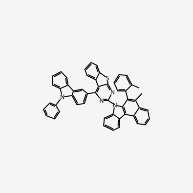 Cc1ccccc1-c1c(C)c2ccccc2c2c3ccccc3n(-c3nc(-c4ccc5c(c4)c4ccccc4n5-c4ccccc4)c4c(n3)sc3ccccc34)c12